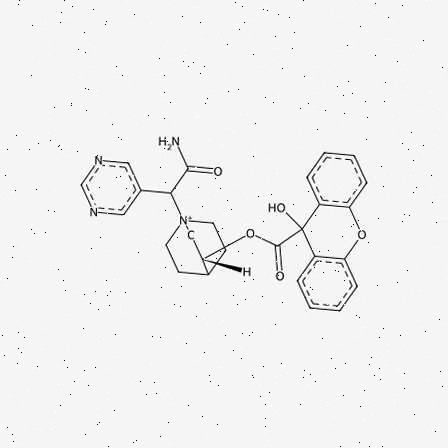 NC(=O)C(c1cncnc1)[N+]12CCC(CC1)[C@@H](OC(=O)C1(O)c3ccccc3Oc3ccccc31)C2